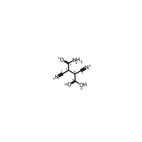 N#CC(C(N)=O)C(C#N)C(=O)O